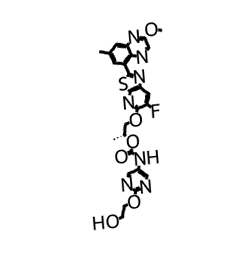 COc1cnc2c(-c3nc4cc(F)c(OC[C@@H](C)OC(=O)Nc5cnc(OCCO)nc5)nc4s3)cc(C)cc2n1